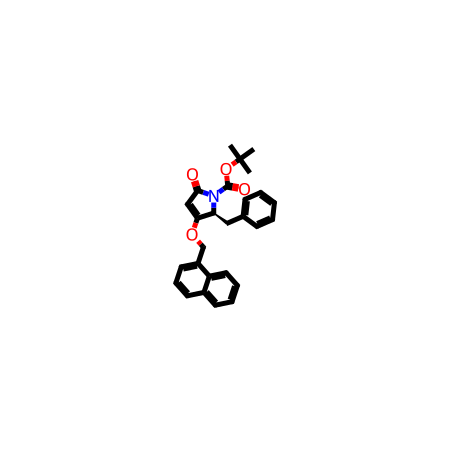 CC(C)(C)OC(=O)N1C(=O)C=C(OCc2cccc3ccccc23)[C@@H]1Cc1ccccc1